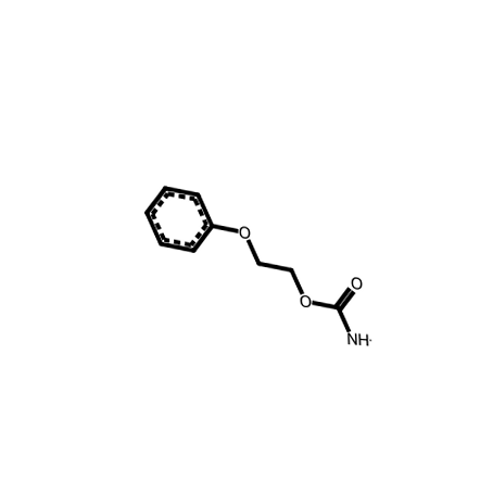 [NH]C(=O)OCCOc1ccccc1